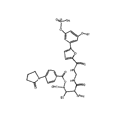 CCCCCC(C(=O)NCNC(=O)c1ccc(-c2cc(OCC)cc(O[PH](=O)O)c2)o1)C(CC)N(C=O)OC(=O)c1ccc(N2CCCC2=O)cc1